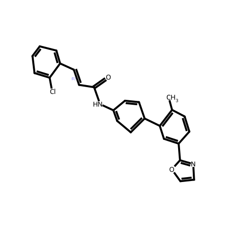 Cc1ccc(-c2ncco2)cc1-c1ccc(NC(=O)/C=C/c2ccccc2Cl)cc1